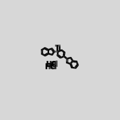 Cl.Cl.[Ti][C]1(C2=Cc3ccccc3C2)C=CC(C2=Cc3ccccc3C2)=CC1